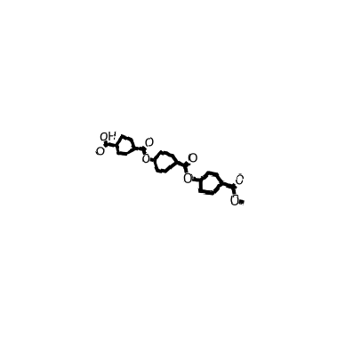 COC(=O)C1CCC(OC(=O)C2CCC(OC(=O)C3CCC(C(=O)O)CC3)CC2)CC1